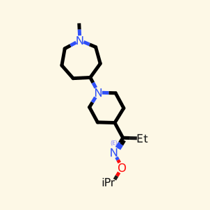 CC/C(=N\OC(C)C)C1CCN(C2CCCN(C)CC2)CC1